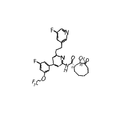 C[C@H]1C(=O)CCCCC[C@@H]1C(=O)NC1=NC(CCc2cncc(F)c2)CC(c2cc(F)cc(OC(F)(F)F)c2)=C1